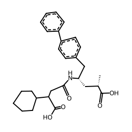 C[C@@H](C[C@@H](Cc1ccc(-c2ccccc2)cc1)NC(=O)CC(C(=O)O)C1CCCCC1)C(=O)O